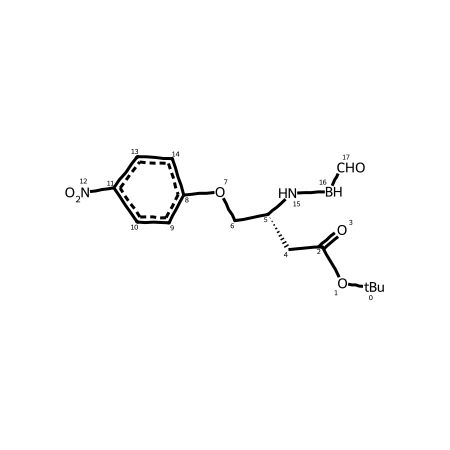 CC(C)(C)OC(=O)C[C@H](COc1ccc([N+](=O)[O-])cc1)NBC=O